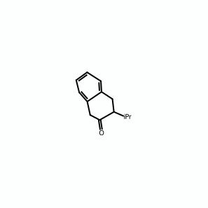 CC(C)C1Cc2ccccc2CC1=O